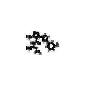 CCC(C)NC(=O)c1c(-c2ccc(-c3cccc(Cl)c3)o2)noc1N